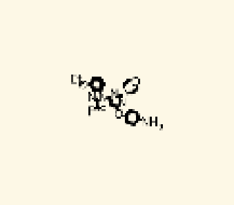 CCOc1cccc2c1nc(C(F)F)n2-c1cc(O[C@H]2CC[C@H](N)CC2)nc(N2CCOCC2)n1